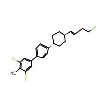 N#Cc1c(F)cc(-c2ccc([C@H]3CC[C@H](C=CCCF)CC3)cc2)cc1F